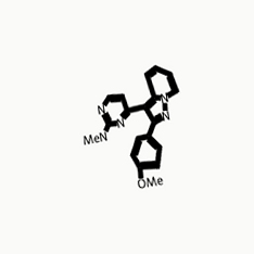 CNc1nccc(-c2c(-c3ccc(OC)cc3)nn3ccccc23)n1